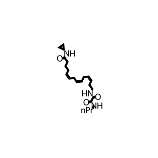 CCCNC(=O)C(=O)NCC/C=C\C/C=C\C/C=C\CCCC(=O)NC1CC1